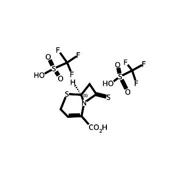 O=C(O)C1=CCS[C@H]2CC(=S)N12.O=S(=O)(O)C(F)(F)F.O=S(=O)(O)C(F)(F)F